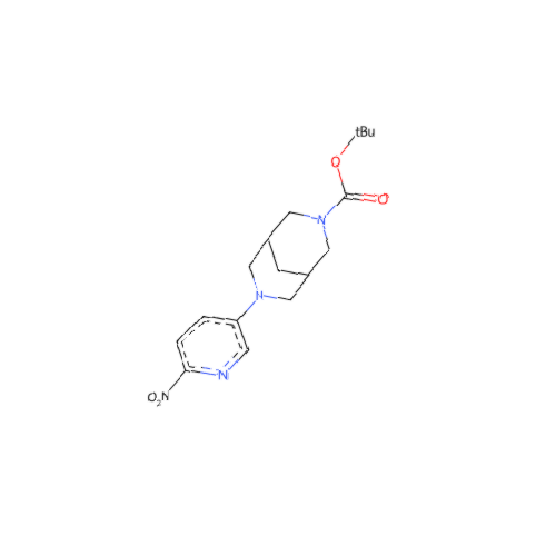 CC(C)(C)OC(=O)N1CC2CC(C1)CN(c1ccc([N+](=O)[O-])nc1)C2